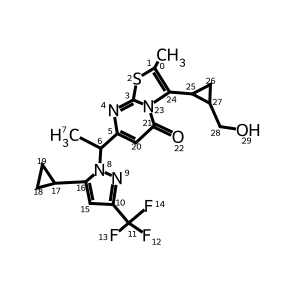 Cc1sc2nc(C(C)n3nc(C(F)(F)F)cc3C3CC3)cc(=O)n2c1C1CC1CO